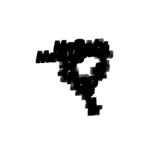 COc1cc2c3cc1Oc1c(OC)c(OC)cc4c1C(Cc1ccc(OCCCBr)c(c1)OC1=CC=C(CC1C)CC3N(C)CC2)N(C)CC4